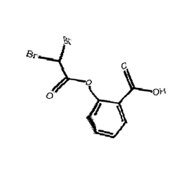 O=C(O)c1ccccc1OC(=O)C(Br)Br